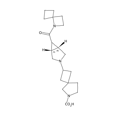 O=C(O)N1CCC2(CC(N3C[C@@H]4C(C(=O)N5CCC56CCC6)[C@@H]4C3)C2)C1